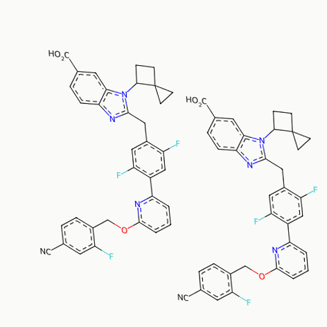 N#Cc1ccc(COc2cccc(-c3cc(F)c(Cc4nc5ccc(C(=O)O)cc5n4C4CCC45CC5)cc3F)n2)c(F)c1.N#Cc1ccc(COc2cccc(-c3cc(F)c(Cc4nc5ccc(C(=O)O)cc5n4C4CCC45CC5)cc3F)n2)c(F)c1